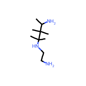 CC(N)C(C)(C)C(C)(C)NCCN